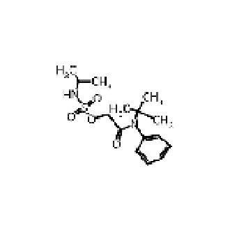 CC(C)NS(=O)(=O)OCC(=O)N(c1ccccc1)C(C)(C)C